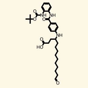 CC(C)(C)OC(=O)Nc1ccccc1NC(=O)c1ccc(NC(CCCCCCCCCC=O)CCC(=O)O)cc1